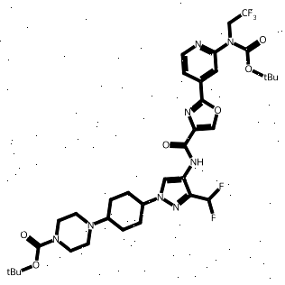 CC(C)(C)OC(=O)N1CCN(C2CCC(n3cc(NC(=O)c4coc(-c5ccnc(N(CC(F)(F)F)C(=O)OC(C)(C)C)c5)n4)c(C(F)F)n3)CC2)CC1